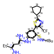 CC/C(N)=C/C=C(\N)Nc1ccc(-c2sc(C3CCCCC3)nc2C(F)(F)F)c(SNC(C)(C)C)c1